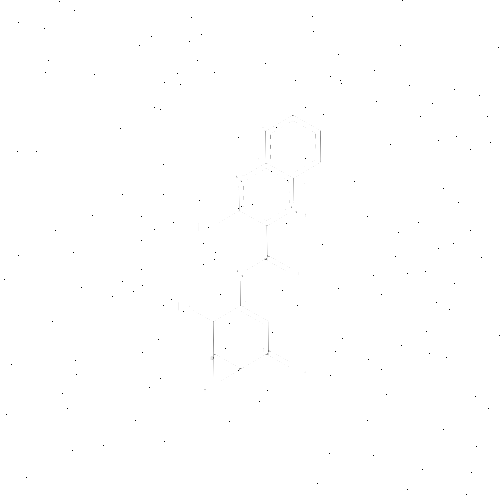 O=C(NC1=CC(=O)C2OC2C1O)c1nc2ccccc2nc1O